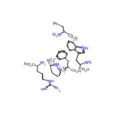 CC(C)CC(N)C(=O)O.N=C(N)NCCCC(N)C(=O)O.NC(Cc1c[nH]c2ccccc12)C(=O)O.NC(Cc1ccccc1)C(=O)O.O=C(O)[C@@H]1CCCN1